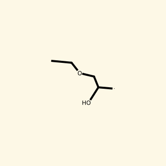 [CH2]C(O)COCC